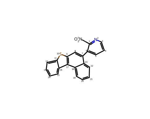 O=[N+]([O-])c1ncccc1-c1cc2sc3ccccc3c2c2ccccc12